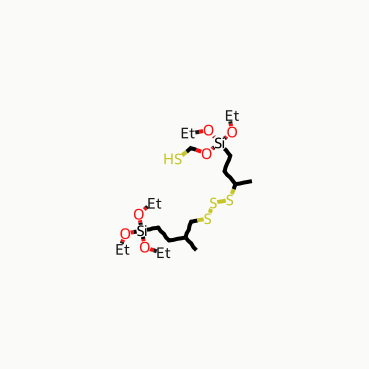 CCO[Si](CCC(C)CSSSC(C)CC[Si](OCC)(OCC)OCS)(OCC)OCC